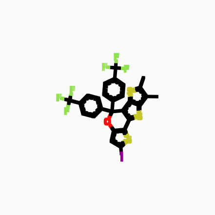 Cc1sc2c3c(sc2c1C)-c1sc(I)cc1OC3(c1ccc(C(F)(F)F)cc1)c1ccc(C(F)(F)F)cc1